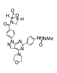 CNC(=O)Nc1ccc(-c2nc(N3CCOCC3)c3cnn(-c4ccc(C(=O)N5C[C@H]6C[C@@H]5C(=O)O6)cc4)c3n2)cc1